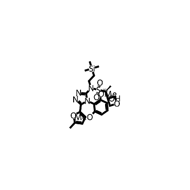 COc1cccc(OC)c1-n1c(-c2ccc(C)o2)nnc1N(CC[Si](C)(C)C)S(=O)(=O)[C@@H](C)C1(O)COC1